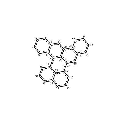 [c]1c2ccccc2c2c3cccc4cccc(c5cc6ccccc6c1c52)c43